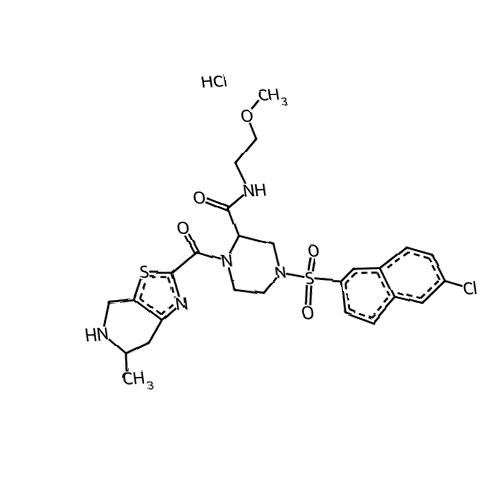 COCCNC(=O)C1CN(S(=O)(=O)c2ccc3cc(Cl)ccc3c2)CCN1C(=O)c1nc2c(s1)CNC(C)C2.Cl